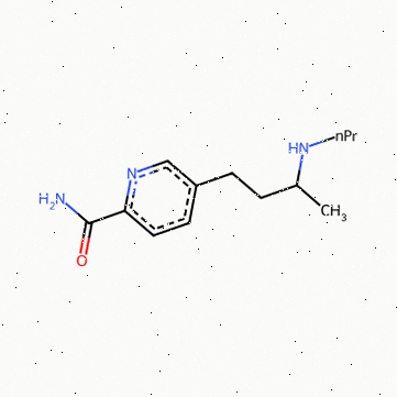 CCCNC(C)CCc1ccc(C(N)=O)nc1